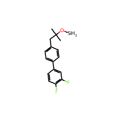 CC(C)(Cc1ccc(-c2ccc(F)c(F)c2)cc1)O[SiH3]